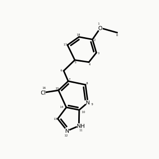 COC1=CCC(Cc2cnc3[nH]ncc3c2Cl)C=C1